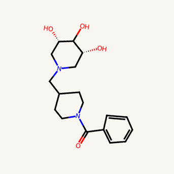 O=C(c1ccccc1)N1CCC(CN2C[C@@H](O)C(O)[C@@H](O)C2)CC1